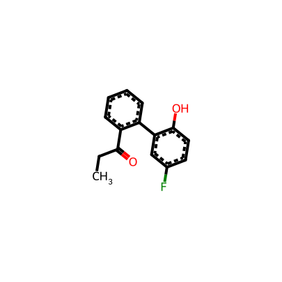 CCC(=O)c1ccccc1-c1cc(F)ccc1O